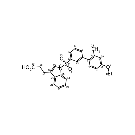 CCOc1ccc(-c2cccc(S(=O)(=O)n3cc(CCC(=O)O)c4ccccc43)c2)c(C)c1